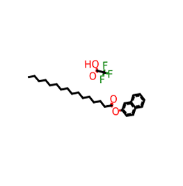 CCCCCCCCCCCCCCCC(=O)Oc1ccc2ccccc2c1.O=C(O)C(F)(F)F